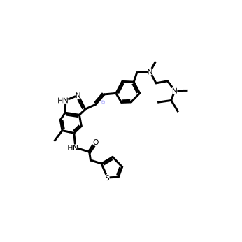 Cc1cc2[nH]nc(/C=C/c3cccc(CN(C)CCN(C)C(C)C)c3)c2cc1NC(=O)Cc1cccs1